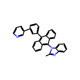 Cc1nc2ccccc2n1-c1c2ccccc2c(-c2cccc(-c3cccnc3)c2)c2ccccc12